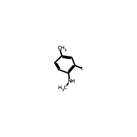 CNc1ccc(C)cc1I